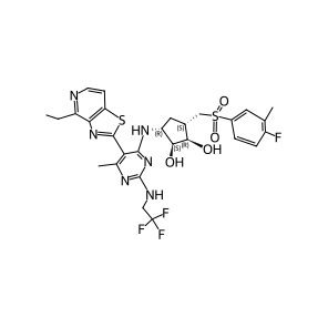 CCc1nccc2sc(-c3c(C)nc(NCC(F)(F)F)nc3N[C@@H]3C[C@H](CS(=O)(=O)c4ccc(F)c(C)c4)[C@@H](O)[C@H]3O)nc12